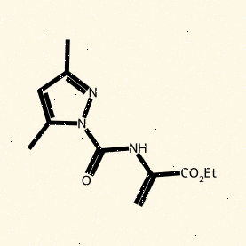 C=C(NC(=O)n1nc(C)cc1C)C(=O)OCC